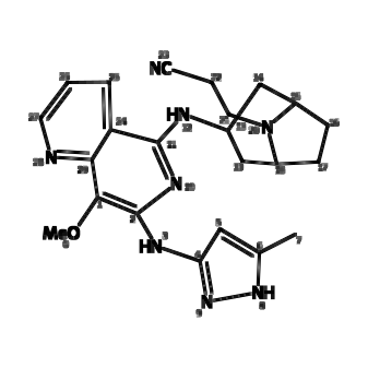 COc1c(Nc2cc(C)[nH]n2)nc(NC2CC3CCC(C2)N3CCC#N)c2cccnc12